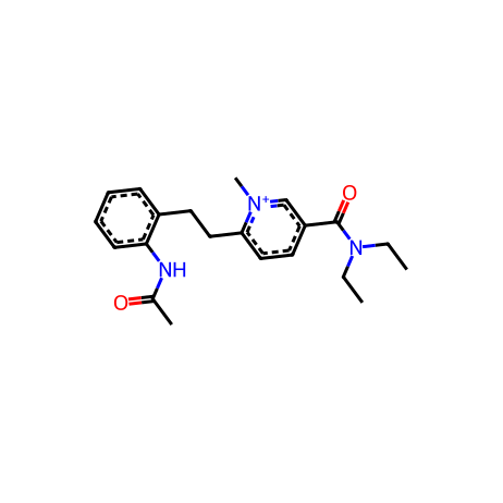 CCN(CC)C(=O)c1ccc(CCc2ccccc2NC(C)=O)[n+](C)c1